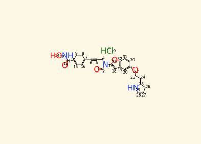 Cl.O=CN(CC#Cc1ccc(C(=O)NO)cc1)c1cc2cc(OCCC3CCCN3)ccc2o1